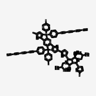 C#CC#CC#CC#Cc1ccc(C2(c3ccc(C)cc3)c3cc4c(cc3-c3sc(C)cc32)C(c2ccc(C)cc2)(c2ccc(C#CC#CC#CC#C)cc2)c2cc(-c3ccc(C5=C6C(=O)N(CC(CC)CCCC)C(c7ccc(C)s7)=C6C(=O)N5CC(CC)CCCC)s3)sc2-4)cc1